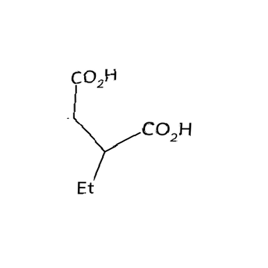 CCC([CH]C(=O)O)C(=O)O